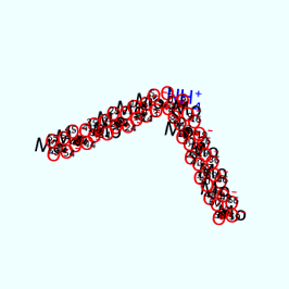 [NH4+].[O]=[Mo](=[O])([O-])[O-].[O]=[Mo](=[O])([O-])[O-].[O]=[Mo](=[O])([O-])[O-].[O]=[Mo](=[O])([O-])[O-].[O]=[Mo](=[O])([O-])[O-].[O]=[Mo](=[O])([O-])[O-].[O]=[Mo](=[O])([O-])[O-].[O]=[Mo](=[O])([O-])[O-].[O]=[Mo](=[O])([O-])[O-].[O]=[Mo](=[O])([O-])[O-].[O]=[Mo](=[O])([O-])[O-].[O]=[Mo](=[O])([O-])[O-]